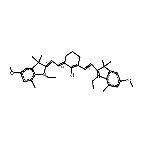 CCN1/C(=C\C=C2/CCCC(/C=C/C3=[N+](CC)c4c(C)cc(OC)cc4C3(C)C)=C2Cl)C(C)(C)c2cc(OC)cc(C)c21